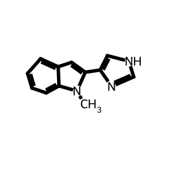 Cn1c(-c2c[nH]cn2)cc2ccccc21